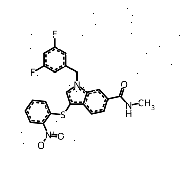 CNC(=O)c1ccc2c(Sc3ccccc3[N+](=O)[O-])cn(Cc3cc(F)cc(F)c3)c2c1